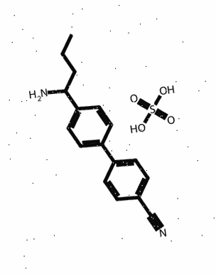 CCCC(N)c1ccc(-c2ccc(C#N)cc2)cc1.O=S(=O)(O)O